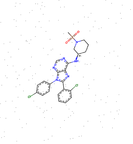 CS(=O)(=O)N1CCC[C@@H](Nc2ncnc3c2nc(-c2ccccc2Cl)n3-c2ccc(Cl)cc2)C1